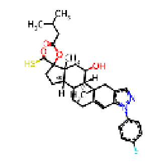 CC(C)CC(=O)OC1(C(=O)S)CC[C@H]2C3CCC4=Cc5c(cnn5-c5ccc(F)cc5)CC4(C)[C@H]3C(O)CC21C